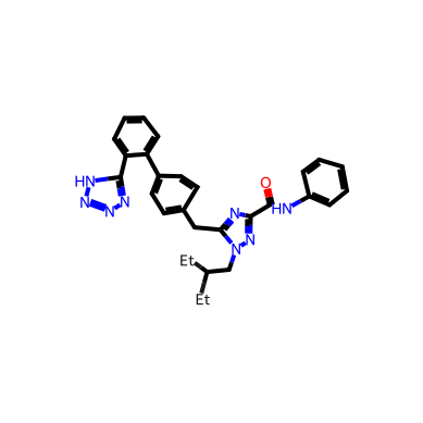 CCC(CC)Cn1nc(C(=O)Nc2ccccc2)nc1Cc1ccc(-c2ccccc2-c2nnn[nH]2)cc1